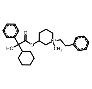 C[N+]1(CCc2ccccc2)CCCC(OC(=O)C(O)(c2ccccc2)C2CCCCC2)C1